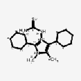 Cc1c(C2CCCCC2)[n+](NC(N)=S)c(C2CCCCC2)n1C